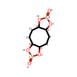 O=S1OC2CCC3OS(=O)OC3CCC2O1